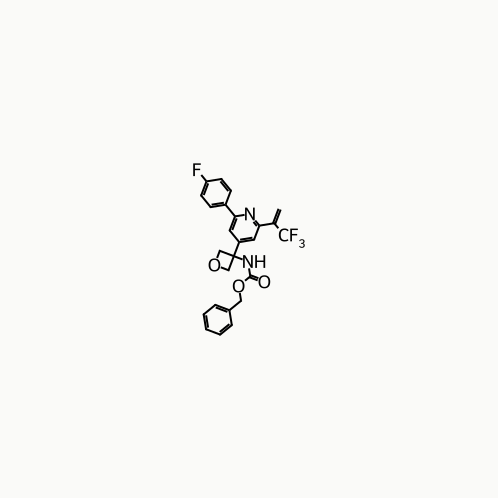 C=C(c1cc(C2(NC(=O)OCc3ccccc3)COC2)cc(-c2ccc(F)cc2)n1)C(F)(F)F